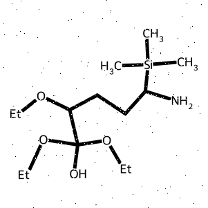 CCO[C](CCC(N)[Si](C)(C)C)C(O)(OCC)OCC